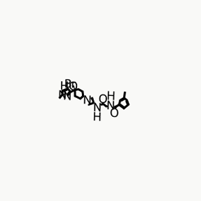 Cc1cccc(C(=O)NCC(=O)NC2CN([C@H]3CC[C@@](O)(c4nn(C)cc4Br)CC3)C2)c1